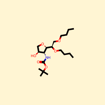 CCCCOC[C@@H](OCCCC)[C@H]1OC[C@H](O)[C@H]1NC(=O)OC(C)(C)C